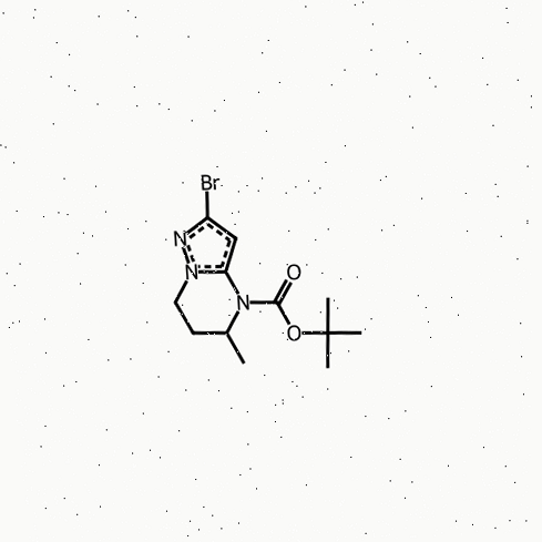 CC1CCn2nc(Br)cc2N1C(=O)OC(C)(C)C